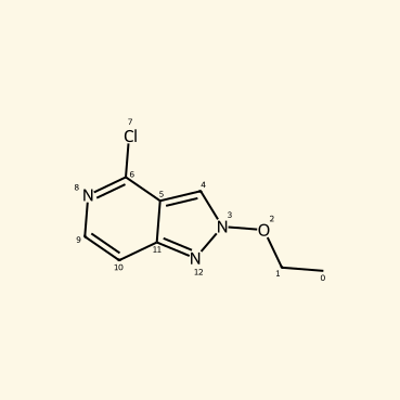 CCOn1cc2c(Cl)nccc2n1